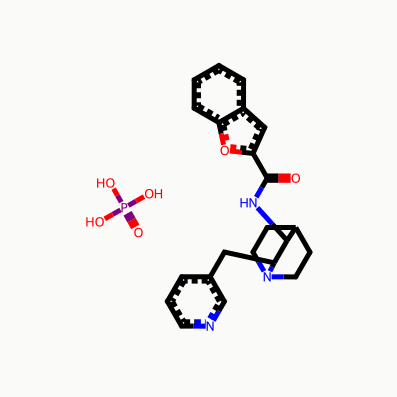 O=C(NC1C2CCN(CC2)C1Cc1cccnc1)c1cc2ccccc2o1.O=P(O)(O)O